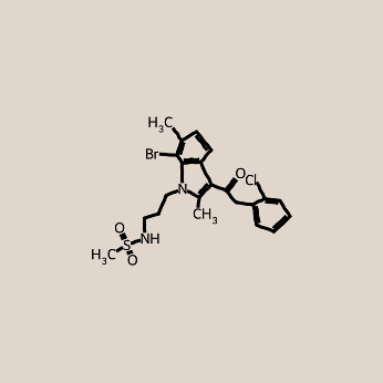 Cc1ccc2c(C(=O)Cc3ccccc3Cl)c(C)n(CCCNS(C)(=O)=O)c2c1Br